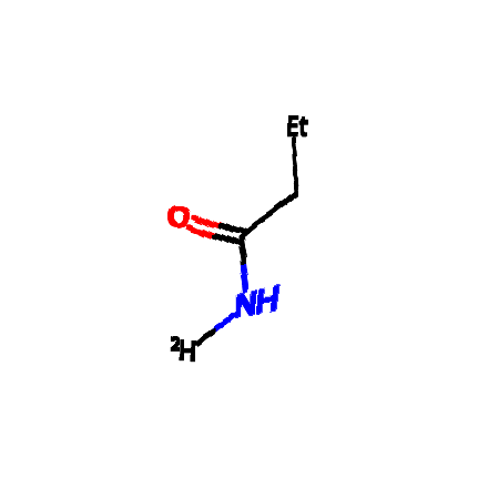 [2H]NC(=O)CCC